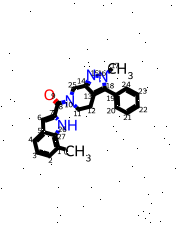 Cc1cccc2cc(C(=O)N3CCc4c(nn(C)c4-c4ccccc4)C3)[nH]c12